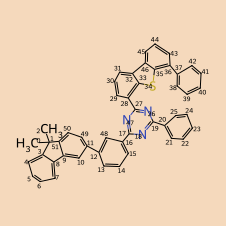 CC1(C)c2ccccc2-c2cc(-c3cccc(-c4nc(-c5ccccc5)nc(-c5cccc6c5sc5c(-c7ccccc7)cccc56)n4)c3)ccc21